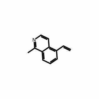 C=Cc1cccc2c(C)nccc12